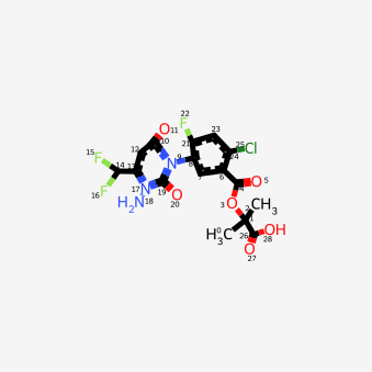 CC(C)(OC(=O)c1cc(-n2c(=O)cc(C(F)F)n(N)c2=O)c(F)cc1Cl)C(=O)O